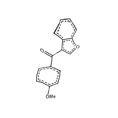 COc1ccc(C(=O)c2coc3ccccc23)cc1